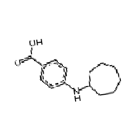 O=C(O)c1ccc(NC2CCCCCC2)cc1